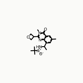 Cc1cc(C(C)N[S@+]([O-])C(C)(C)C)c2nc(C3COC3)n(C)c(=O)c2c1